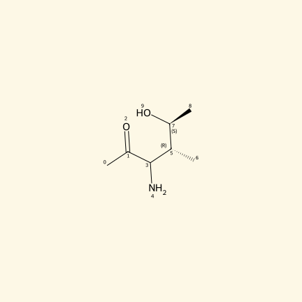 CC(=O)C(N)[C@@H](C)[C@H](C)O